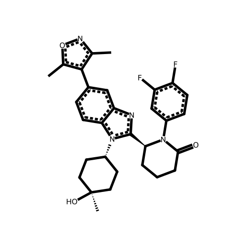 Cc1noc(C)c1-c1ccc2c(c1)nc([C@@H]1CCCC(=O)N1c1ccc(F)c(F)c1)n2[C@H]1CC[C@](C)(O)CC1